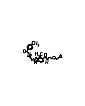 Cc1ccc(C(=O)N2CC(Cn3cc4c(C)c(C(=O)NCCOCC5CC5)ccc4n3)C2)cc1